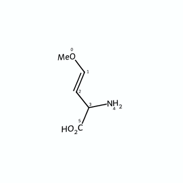 COC=CC(N)C(=O)O